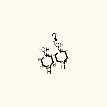 C=O.ON1CCNCC1.ON1CCNCC1